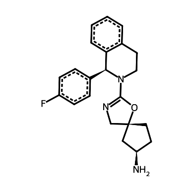 N[C@@H]1CC[C@]2(CN=C(N3CCc4ccccc4[C@@H]3c3ccc(F)cc3)O2)C1